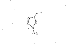 CN1[C]C(CF)N=[C]1